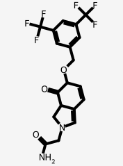 NC(=O)CN1C=C2C=CC(OCc3cc(C(F)(F)F)cc(C(F)(F)F)c3)C(=O)C2C1